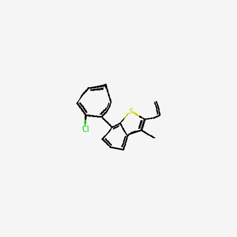 C=Cc1sc2c(-c3ccccc3Cl)cccc2c1C